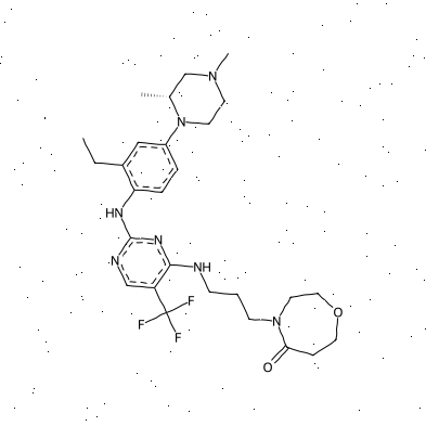 CCc1cc(N2CCN(C)C[C@H]2C)ccc1Nc1ncc(C(F)(F)F)c(NCCCN2CCOCCC2=O)n1